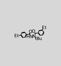 CCc1ccc(C(=O)NN(C(=O)c2cccc(CC)c2)C(C)(C)C)cc1